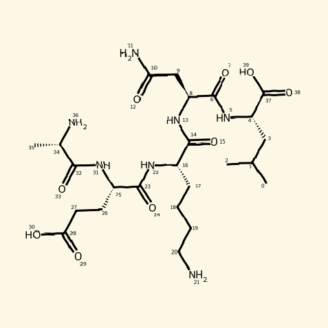 CC(C)C[C@H](NC(=O)[C@H](CC(N)=O)NC(=O)[C@H](CCCCN)NC(=O)[C@H](CCC(=O)O)NC(=O)[C@H](C)N)C(=O)O